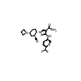 N#C[C@H]1C[C@H](N2CCC2)CC[C@@H]1n1cc(C(N)=O)c(Nc2ccc(C(F)F)nc2)n1